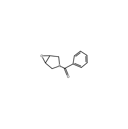 O=C(c1ccccc1)N1CC2OC2C1